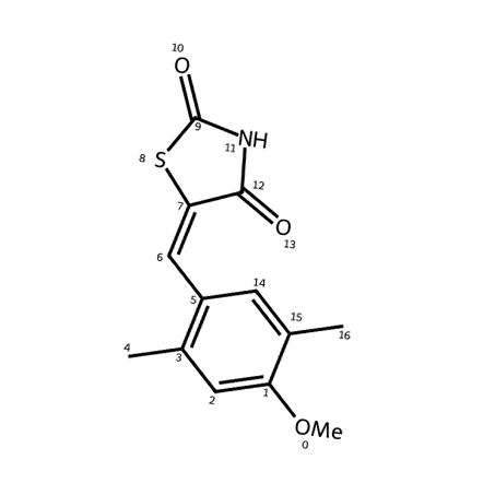 COc1cc(C)c(C=C2SC(=O)NC2=O)cc1C